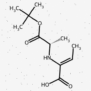 CC=C(N[C@@H](C)C(=O)OC(C)(C)C)C(=O)O